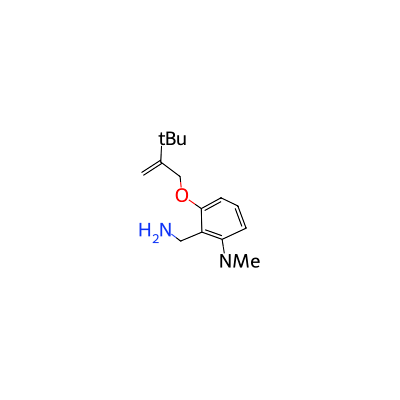 C=C(COc1cccc(NC)c1CN)C(C)(C)C